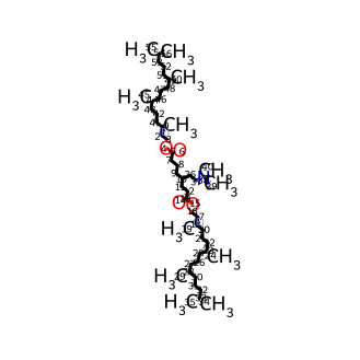 C/C(=C\COC(=O)CCCC(CCC(=O)OC/C=C(\C)CCCC(C)CCCC(C)CCCC(C)C)CCN(C)C)CCCC(C)CCCC(C)CCCC(C)C